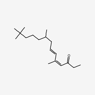 CCC(=O)C=C(C)C=CCC(C)CCCC(C)(C)C